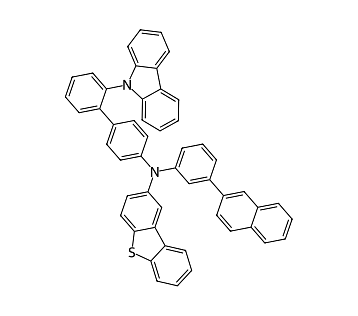 c1cc(-c2ccc3ccccc3c2)cc(N(c2ccc(-c3ccccc3-n3c4ccccc4c4ccccc43)cc2)c2ccc3sc4ccccc4c3c2)c1